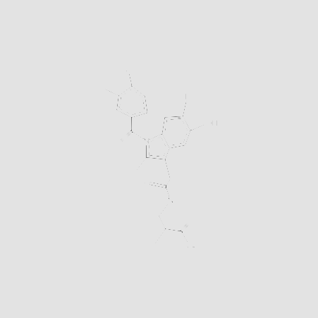 Cc1c(CC(=O)NCC(C)C(=O)O)c2cc(O)c(F)cc2n1C(=O)c1ccc(Cl)c(F)c1